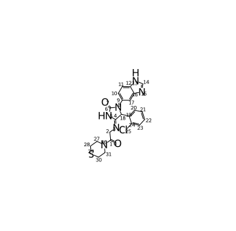 O=C(CN=C1NC(=O)N(c2ccc3[nH]cnc3c2)C1c1ccccc1Cl)N1CCSCC1